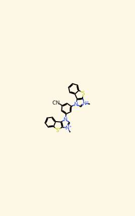 [C-]#[N+]c1cc(-n2c[n+](C)c3sc4ccccc4c32)cc(-n2c[n+](C)c3sc4ccccc4c32)c1